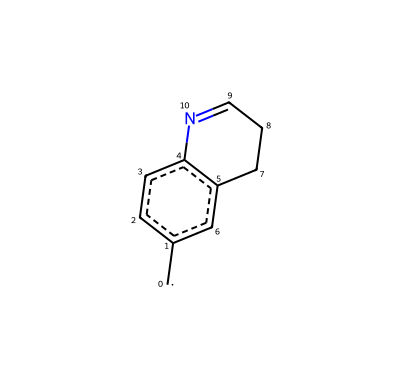 [CH2]c1ccc2c(c1)CCC=N2